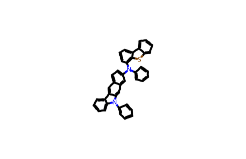 c1ccc(N(c2ccc3cc4c5ccccc5n(-c5ccccc5)c4cc3c2)c2cccc3c2sc2ccccc23)cc1